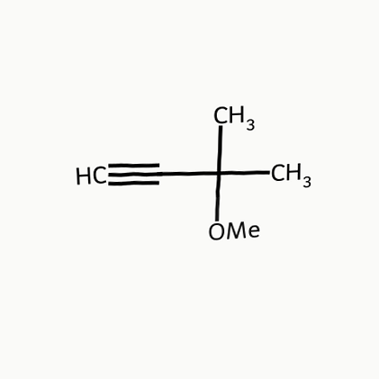 C#CC(C)(C)O[CH2]